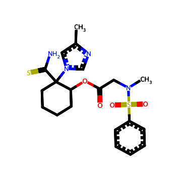 Cc1cn(C2(C(N)=S)CCCCC2OC(=O)CN(C)S(=O)(=O)c2ccccc2)cn1